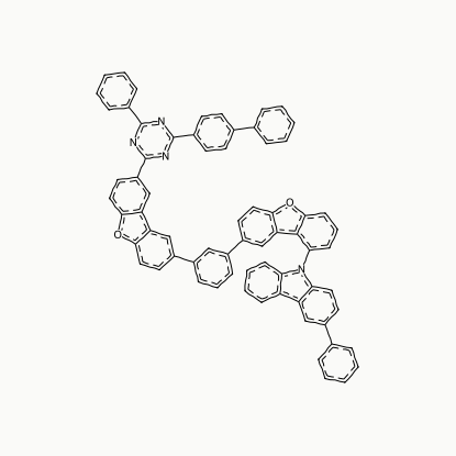 c1ccc(-c2ccc(-c3nc(-c4ccccc4)nc(-c4ccc5oc6ccc(-c7cccc(-c8ccc9oc%10cccc(-n%11c%12ccccc%12c%12cc(-c%13ccccc%13)ccc%12%11)c%10c9c8)c7)cc6c5c4)n3)cc2)cc1